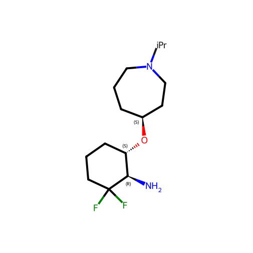 CC(C)N1CCC[C@H](O[C@H]2CCCC(F)(F)[C@@H]2N)CC1